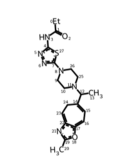 CCC(=O)Nc1nnc(N2CCN(C(C)C3=CC=c4oc(C)nc4=CC3)CC2)s1